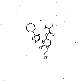 CCC(Cl)C(=O)OC1CCN(CCBr)C(=O)N1c1nnc(C2CCCCCC2)s1